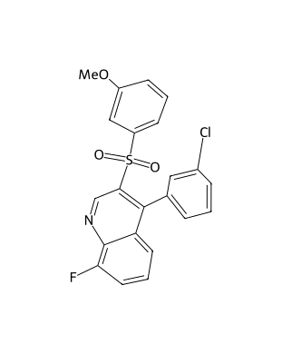 COc1cccc(S(=O)(=O)c2cnc3c(F)cccc3c2-c2cccc(Cl)c2)c1